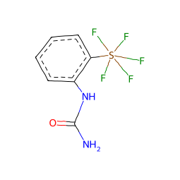 NC(=O)Nc1ccccc1S(F)(F)(F)(F)F